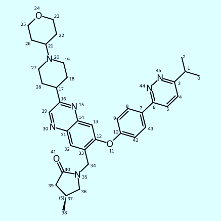 CC(C)c1ccc(-c2ccc(Oc3cc4nc(C5CCN(C6CCOCC6)CC5)cnc4cc3CN3C[C@@H](C)CC3=O)cc2)nn1